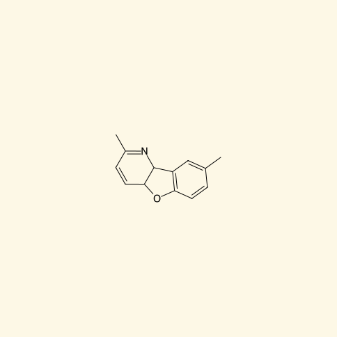 CC1=NC2c3cc(C)ccc3OC2C=C1